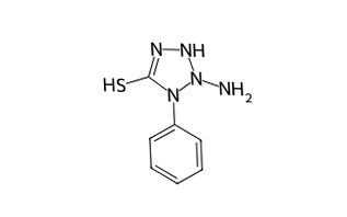 NN1NN=C(S)N1c1ccccc1